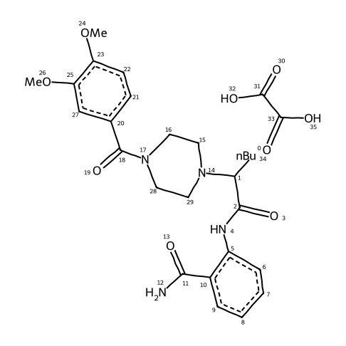 CCCCC(C(=O)Nc1ccccc1C(N)=O)N1CCN(C(=O)c2ccc(OC)c(OC)c2)CC1.O=C(O)C(=O)O